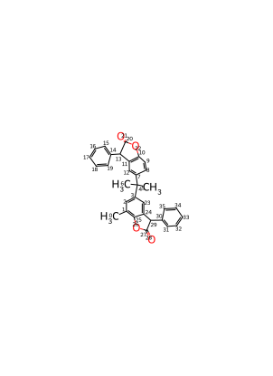 Cc1cc(C(C)(C)c2ccc3c(c2)C(c2ccccc2)C(=O)O3)cc2c1OC(=O)C2c1ccccc1